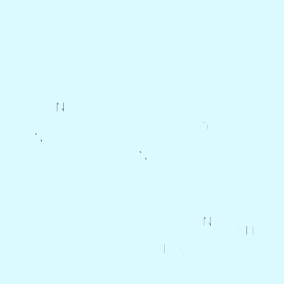 CN(C)CCn1c(=O)c2ccccc2c2nnc3ccccc3c21